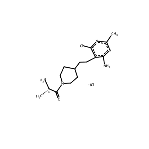 Cc1nc(N)c(CCC2CCN(C(=O)[C@H](C)N)CC2)c(Cl)n1.Cl